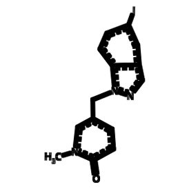 Cn1cc(Cn2ncc3cc(I)ccc32)ccc1=O